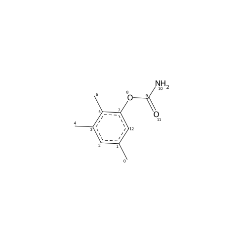 Cc1cc(C)c(C)c(OC(N)=O)c1